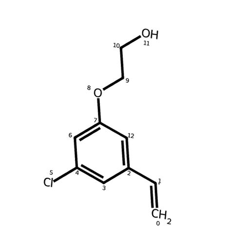 C=[C]c1cc(Cl)cc(OCCO)c1